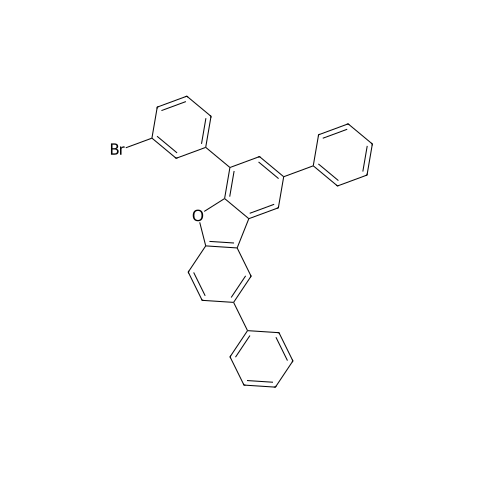 Brc1cccc(-c2cc(-c3ccccc3)cc3c2oc2ccc(-c4ccccc4)cc23)c1